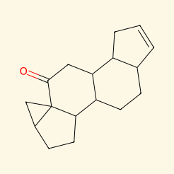 O=C1CC2C3CC=CC3CCC2C2CCC3CC132